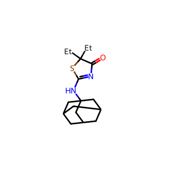 CCC1(CC)SC(NC23CC4CC(CC(C4)C2)C3)=NC1=O